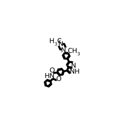 Cc1cc(-c2cnc3[nH]cc(-c4ccc5c(c4)OCC(c4ccccc4)NC5=O)c3c2)ccc1N1CCN(C)CC1